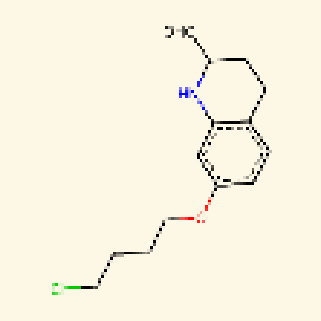 O=CC1CCc2ccc(OCCCCCl)cc2N1